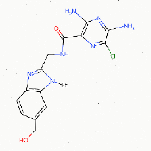 CCn1c(CNC(=O)c2nc(Cl)c(N)nc2N)nc2ccc(CO)cc21